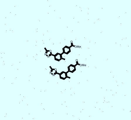 COC(=O)c1ccc(-c2cc(-c3nnc(C)o3)ccc2C)cc1.COC(=O)c1ccc(-c2cc(-c3nnc(C)o3)ccc2C)cc1